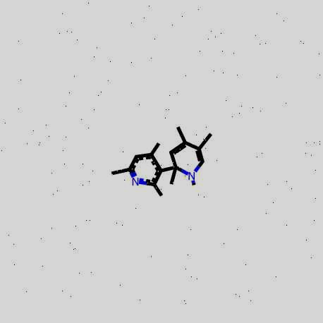 CC1=CN(C)C(C)(c2c(C)cc(C)nc2C)C=C1C